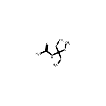 COC(NC(N)=O)(OC)OC